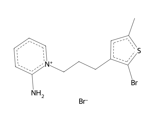 Cc1cc(CCC[n+]2ccccc2N)c(Br)s1.[Br-]